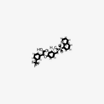 CN(Cc1ccc(OC(C(=O)O)c2cccc(C(F)(F)F)c2)cc1)S(=O)(=O)c1cccc2cccnc12